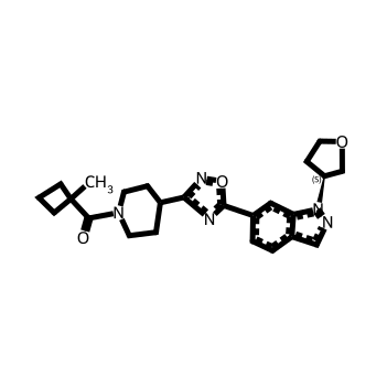 CC1(C(=O)N2CCC(c3noc(-c4ccc5cnn([C@H]6CCOC6)c5c4)n3)CC2)CCC1